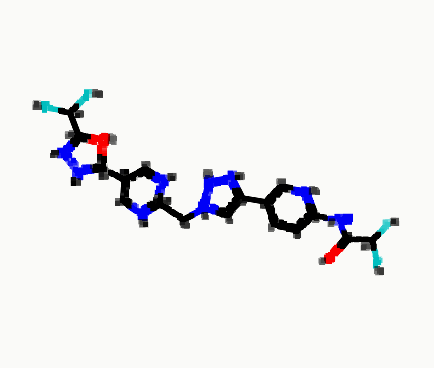 O=C(Nc1ccc(-c2cn(Cc3ncc(-c4nnc(C(F)F)o4)cn3)nn2)cn1)C(F)F